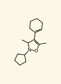 CC1=C(C2=CCCCC2)C(C)N(C2CCCC2)O1